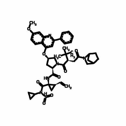 C=C[C@@H]1C[C@]1(NC(=O)[C@@H]1C[C@@H](Oc2cc(-c3ccccc3)nc3cc(OC)ccc23)CN1C(=O)[C@@H](CC(=O)N1CC2CCC1C2)C(C)(C)C)C(=O)N(C1CC1)[SH](=O)=O